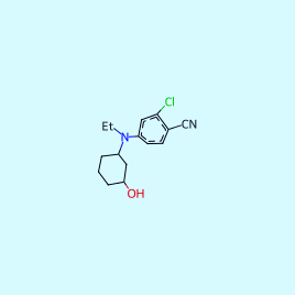 CCN(c1ccc(C#N)c(Cl)c1)C1CCCC(O)C1